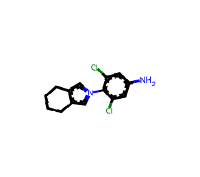 Nc1cc(Cl)c(-n2cc3c(c2)CCCC3)c(Cl)c1